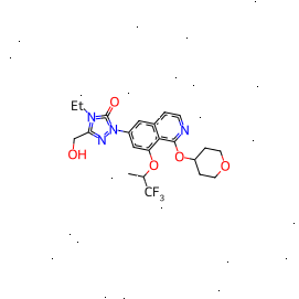 CCn1c(CO)nn(-c2cc(OC(C)C(F)(F)F)c3c(OC4CCOCC4)nccc3c2)c1=O